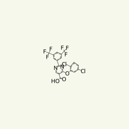 O=C(O)c1cnc(-c2cc(C(F)(F)F)cc(C(F)(F)F)c2)nc1Oc1cc(Cl)ccc1Cl